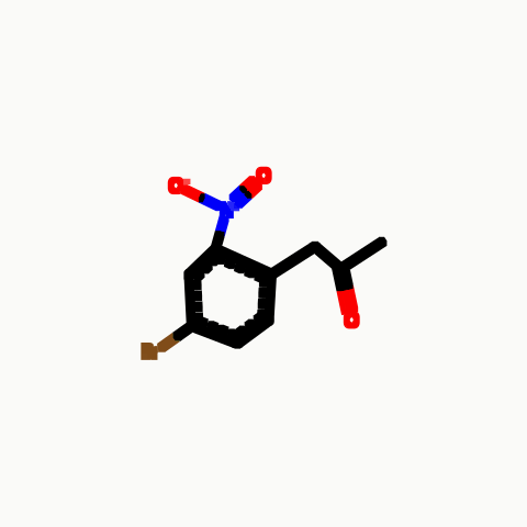 CC(=O)Cc1ccc(Br)cc1[N+](=O)[O-]